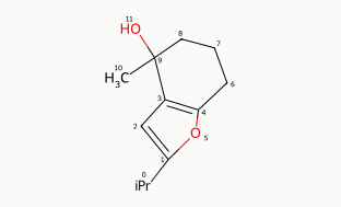 CC(C)c1cc2c(o1)CCCC2(C)O